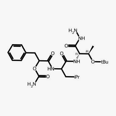 CC(C)CC(NC(=O)C(Cc1ccccc1)OC(N)=O)C(=O)N[C@H](C(=O)NN)[C@@H](C)OC(C)(C)C